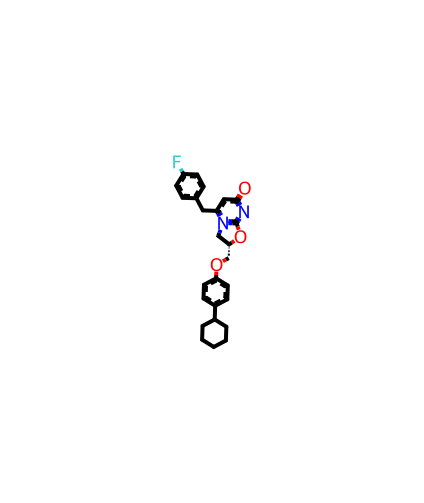 O=c1cc(Cc2ccc(F)cc2)n2c(n1)O[C@H](COc1ccc(C3CCCCC3)cc1)C2